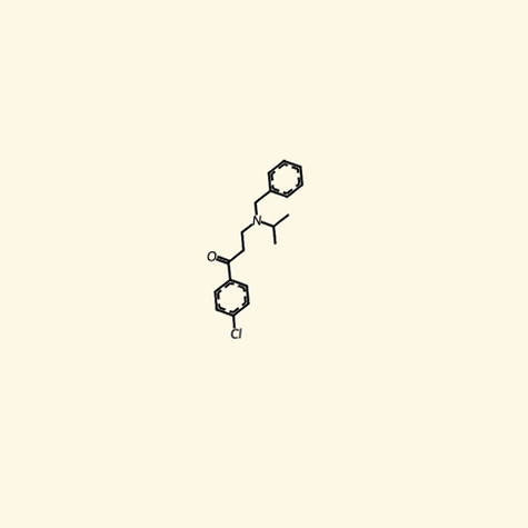 CC(C)N(CCC(=O)c1ccc(Cl)cc1)Cc1ccccc1